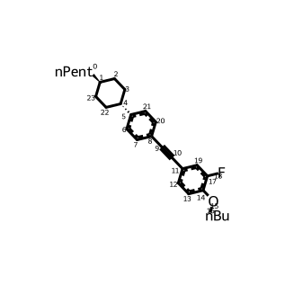 CCCCC[C@H]1CC[C@H](c2ccc(C#Cc3ccc(OCCCC)c(F)c3)cc2)CC1